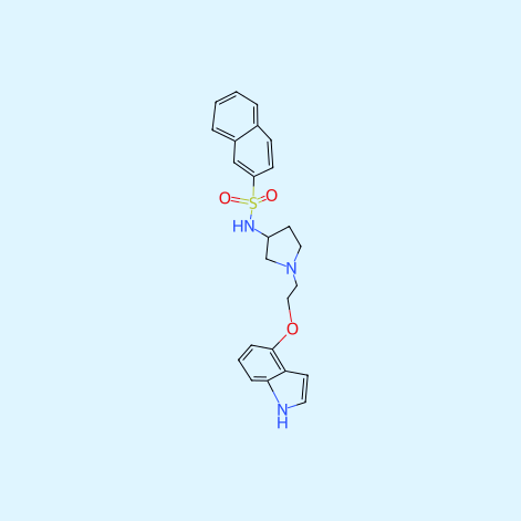 O=S(=O)(NC1CCN(CCOc2cccc3[nH]ccc23)C1)c1ccc2ccccc2c1